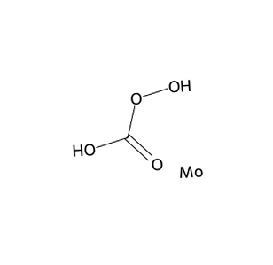 O=C(O)OO.[Mo]